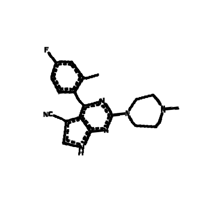 Cc1cc(F)ccc1-c1nc(N2CCN(C)CC2)nc2[nH]cc(C#N)c12